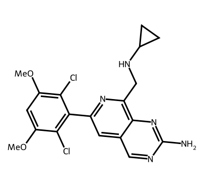 COc1cc(OC)c(Cl)c(-c2cc3cnc(N)nc3c(CNC3CC3)n2)c1Cl